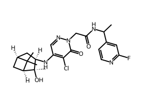 CC(NC(=O)Cn1ncc(N[C@@H]2C[C@@H]3C[C@@H](C3(C)C)[C@]2(C)O)c(Cl)c1=O)c1ccnc(F)c1